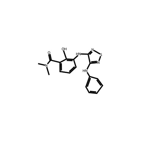 CN(C)C(=O)c1cccc(Nc2nsnc2Nc2ccccc2)c1O